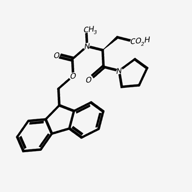 CN(C(=O)OCC1c2ccccc2-c2ccccc21)[C@@H](CC(=O)O)C(=O)N1CCCC1